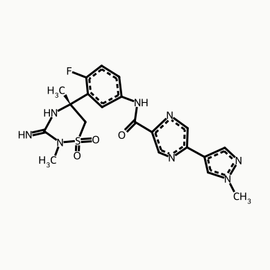 CN1C(=N)N[C@](C)(c2cc(NC(=O)c3cnc(-c4cnn(C)c4)cn3)ccc2F)CS1(=O)=O